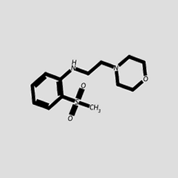 CS(=O)(=O)c1[c]cccc1NCCN1CCOCC1